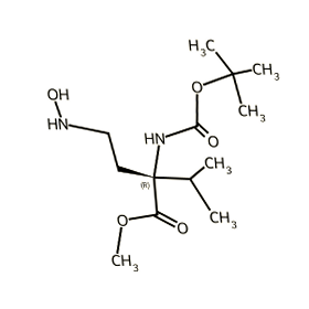 COC(=O)[C@](CCNO)(NC(=O)OC(C)(C)C)C(C)C